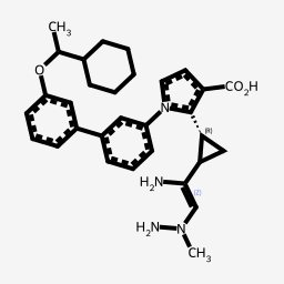 CC(Oc1cccc(-c2cccc(-n3ccc(C(=O)O)c3[C@@H]3CC3/C(N)=C/N(C)N)c2)c1)C1CCCCC1